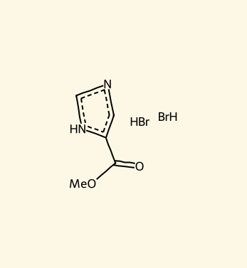 Br.Br.COC(=O)c1cnc[nH]1